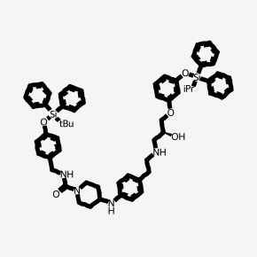 CC(C)[Si](Oc1cccc(OC[C@@H](O)CNCCc2ccc(NC3CCN(C(=O)NCc4ccc(O[Si](c5ccccc5)(c5ccccc5)C(C)(C)C)cc4)CC3)cc2)c1)(c1ccccc1)c1ccccc1